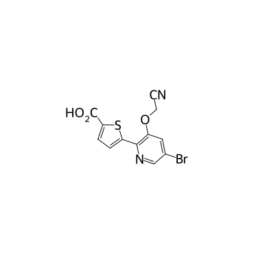 N#CCOc1cc(Br)cnc1-c1ccc(C(=O)O)s1